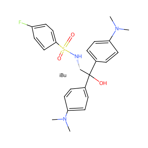 CC[C@H](C)[C@H](NS(=O)(=O)c1ccc(F)cc1)C(O)(c1ccc(N(C)C)cc1)c1ccc(N(C)C)cc1